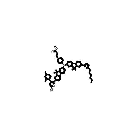 CCCCCCc1ccc(-c2ccc3c(c2)C(C)(C)c2cc(N(c4ccc(CCC(=O)OC)cc4)c4ccc5c(c4)C(C)(C)c4cc(-c6sc(Cl)cc6-c6ccc(C)cc6C)ccc4-5)ccc2-3)s1